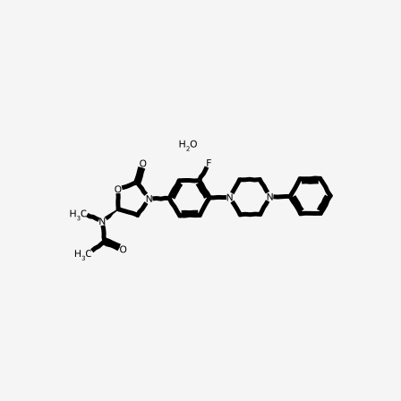 CC(=O)N(C)[C@@H]1CN(c2ccc(N3CCN(c4ccccc4)CC3)c(F)c2)C(=O)O1.O